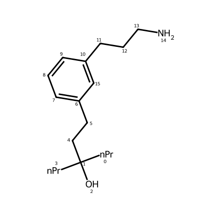 CCCC(O)(CCC)CCc1cccc(CCCN)c1